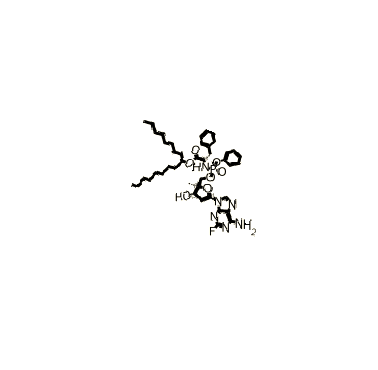 CCCCCCCCC(CCCCCCCC)OC(=O)[C@H](Cc1ccccc1)NP(=O)(OC[C@@]1(C)O[C@@H](n2cnc3c(N)nc(F)nc32)C[C@@H]1O)Oc1ccccc1